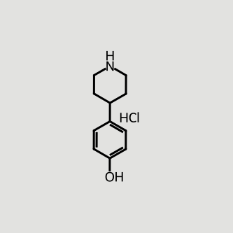 Cl.Oc1ccc(C2CCNCC2)cc1